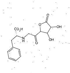 O=C1OC(C(=O)CN[C@H](Cc2ccccc2)C(=O)O)C(O)C1O